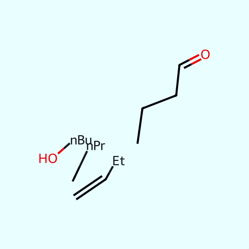 C=CCC.CCCC.CCCC=O.CCCCO